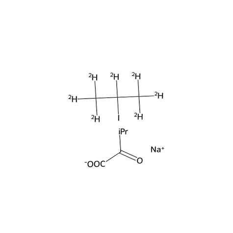 [13CH3]C([13CH3])C(=O)C(=O)[O-].[2H]C([2H])([2H])C([2H])(I)C([2H])([2H])[2H].[Na+]